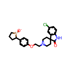 O=C1Nc2ccc(Cl)cc2C12CCN(CCOc1ccc(C3CCC[S+]3[O-])cc1)CC2